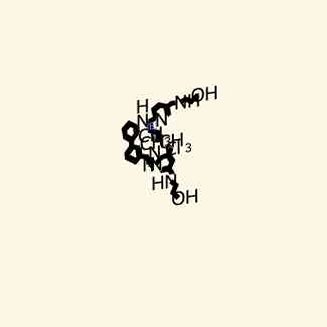 CCC/C=C(/Nc1cccc(-c2cccc(-c3nc4c(Cl)cc(CNCCO)cn4n3)c2C)c1C)c1ccc(CNCCO)cn1